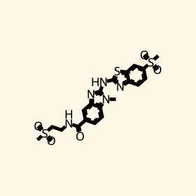 Cn1c(Nc2nc3ccc(S(C)(=O)=O)cc3s2)nc2cc(C(=O)NCCS(C)(=O)=O)ccc21